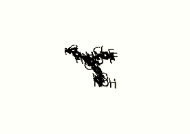 CCc1c(N2CCN(C(=O)c3ncnc(C)c3O)CC2)c(=O)n2nc(-c3cc4c(cc3F)C3(CN(C)C3)OC4)nc2n1CC(=O)Nc1ccc(C(F)(F)F)cc1Cl